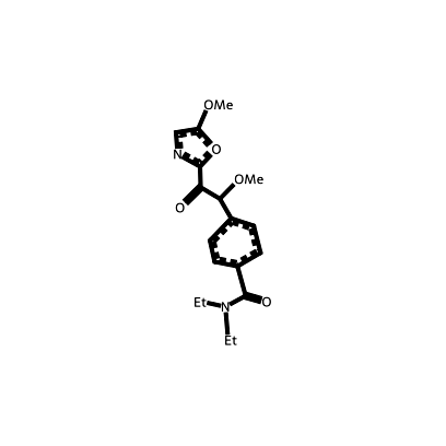 CCN(CC)C(=O)c1ccc(C(OC)C(=O)c2ncc(OC)o2)cc1